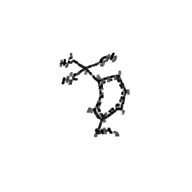 CC(C)(C)c1cccc([SiH3])c1